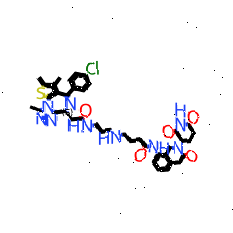 Cc1sc2c(c1C)C(c1ccc(Cl)cc1)=N[C@@H](CC(=O)NCCCNCCCC(=O)Nc1cccc3c1CN(C1CCC(=O)NC1=O)C(=O)C3)c1nnc(C)n1-2